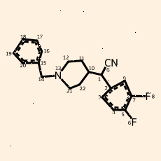 N#CC(c1ccc(F)c(F)c1)C1CCN(Cc2ccccc2)CC1